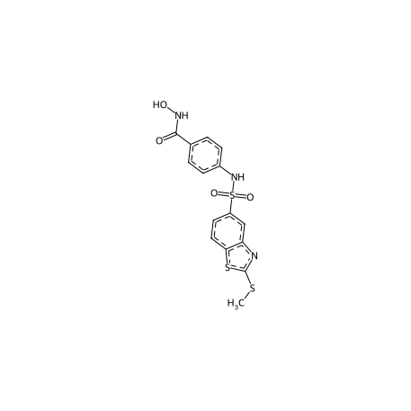 CSc1nc2cc(S(=O)(=O)Nc3ccc(C(=O)NO)cc3)ccc2s1